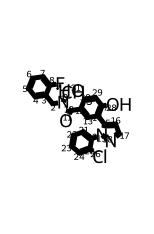 CN(Cc1ccccc1F)C(=O)c1cc(-c2ccnn2-c2ccccc2Cl)c(O)cc1O